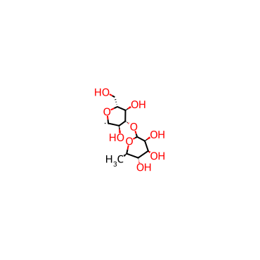 C[C@H]1OC(O[C@H]2[C@H](O)[C@@H](CO)O[CH][C@@H]2O)[C@@H](O)[C@@H](O)[C@@H]1O